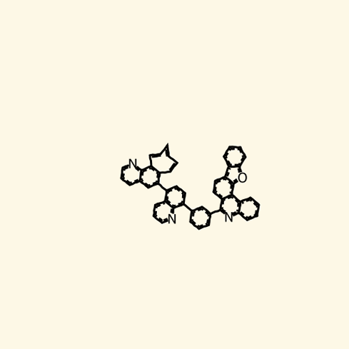 C1=C\c2c(-c3ccc(-c4cccc(-c5nc6ccccc6c6c5ccc5c7ccccc7oc56)c4)c4ncccc34)cc3cccnc3c2/C=C/C=C/1